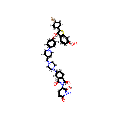 O=C1CCC(N2C(=O)c3ccc(N4CCN(CC5CCN(c6ccc(Oc7c(-c8ccc(Br)cc8)sc8cc(O)ccc78)cc6)CC5)CC4)cc3C2=O)C(=O)N1